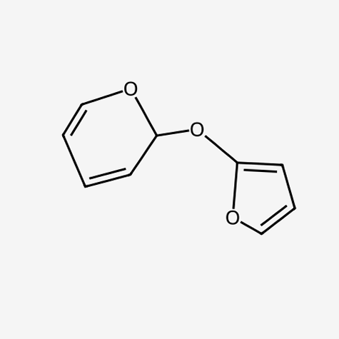 C1=COC(Oc2ccco2)C=C1